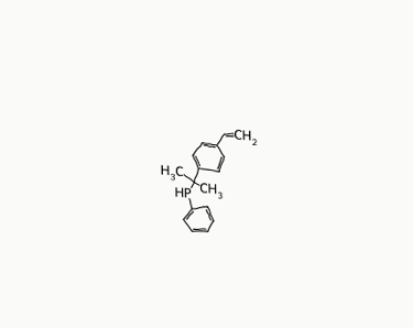 C=Cc1ccc(C(C)(C)Pc2ccccc2)cc1